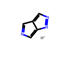 C1=NC=C2N=NC=C12.[H+]